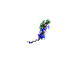 CCN(C)CCCCCCNc1ncc(-c2nc3c(C(F)(F)F)cc(C(F)(F)F)cc3[nH]2)c(C)n1